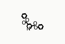 O=C(Oc1ccccc1)c1cncc(C(=O)Oc2ccccc2)c1